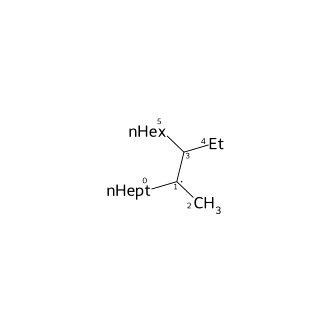 CCCCCCC[C](C)C(CC)CCCCCC